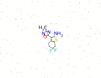 Cc1noc(-c2c(N)sc3c2CCC(F)(F)C3)n1